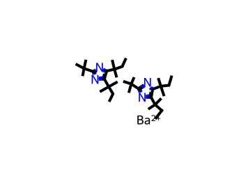 CCC(C)(C)c1nc(C(C)(C)C)[n-]c1C(C)(C)CC.CCC(C)(C)c1nc(C(C)(C)C)[n-]c1C(C)(C)CC.[Ba+2]